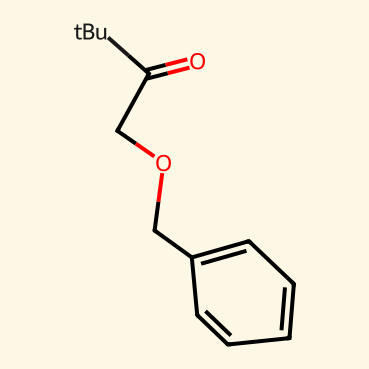 CC(C)(C)C(=O)COCc1ccccc1